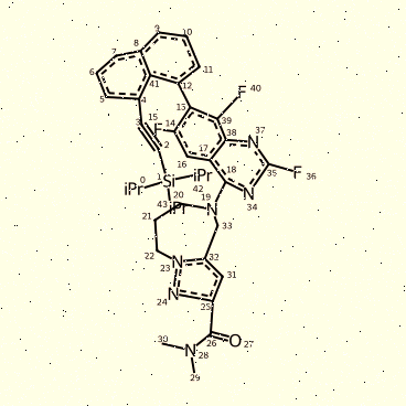 CC(C)[Si](C#Cc1cccc2cccc(-c3c(F)cc4c(N5CCCn6nc(C(=O)N(C)C)cc6C5)nc(F)nc4c3F)c12)(C(C)C)C(C)C